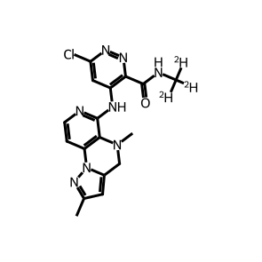 [2H]C([2H])([2H])NC(=O)c1nnc(Cl)cc1Nc1nccc2c1N(C)Cc1cc(C)nn1-2